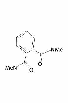 CNC(=O)c1ccccc1C(=O)NC